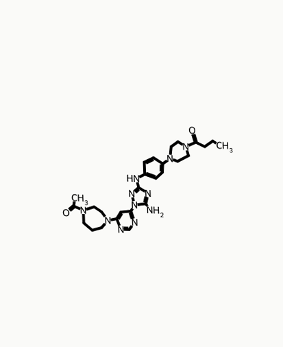 CCCC(=O)N1CCN(c2ccc(Nc3nc(N)n(-c4cc(N5CCCN(C(C)=O)CC5)ncn4)n3)cc2)CC1